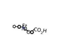 CC/C(=N\OCCOc1cccc(CC(=O)O)c1)c1ccc(C2CCCC2)cc1